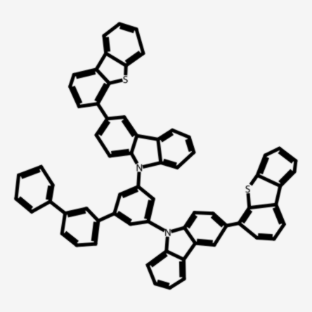 c1ccc(-c2cccc(-c3cc(-n4c5ccccc5c5cc(-c6cccc7c6sc6ccccc67)ccc54)cc(-n4c5ccccc5c5cc(-c6cccc7c6sc6ccccc67)ccc54)c3)c2)cc1